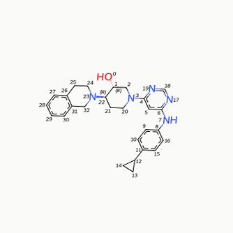 O[C@@H]1CN(c2cc(Nc3ccc(C4CC4)cc3)ncn2)CC[C@H]1N1CCc2ccccc2C1